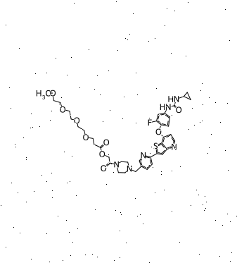 COCCOCCOCCOCCC(=O)OCC(=O)N1CCN(Cc2ccc(-c3cc4nccc(Oc5ccc(NC(=O)NC6CC6)cc5F)c4s3)nc2)CC1